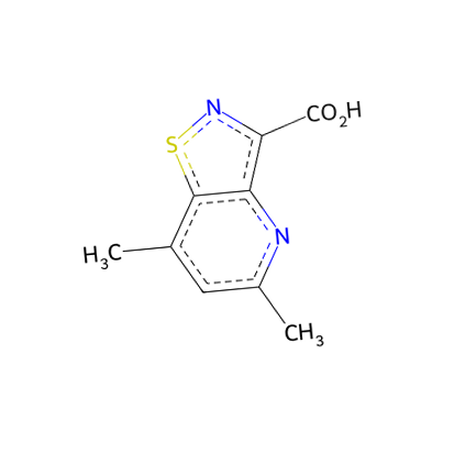 Cc1cc(C)c2snc(C(=O)O)c2n1